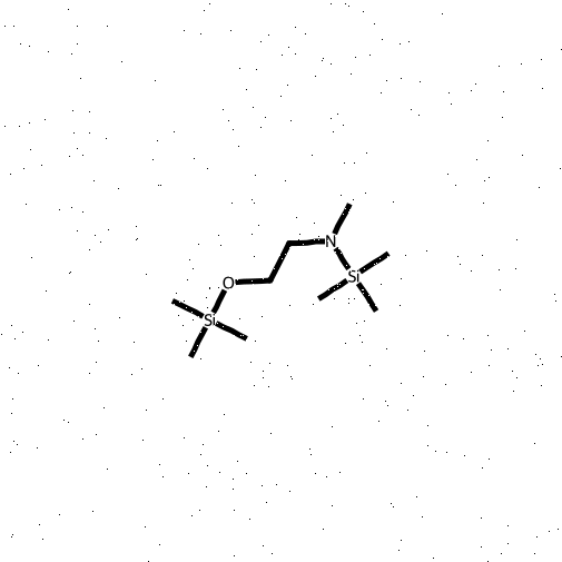 CN(CCO[Si](C)(C)C)[Si](C)(C)C